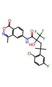 Cc1noc(=O)c2ccc(NC(=O)C(O)(CC(C)(C)c3cc(F)ccc3Cl)C(F)(F)F)cc12